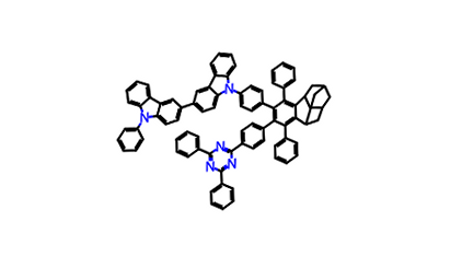 c1ccc(-c2nc(-c3ccccc3)nc(-c3ccc(-c4c(-c5ccc(-n6c7ccccc7c7cc(-c8ccc9c(c8)c8ccccc8n9-c8ccccc8)ccc76)cc5)c(-c5ccccc5)c5c(c4-c4ccccc4)C4CC6CC(C4)CC5C6)cc3)n2)cc1